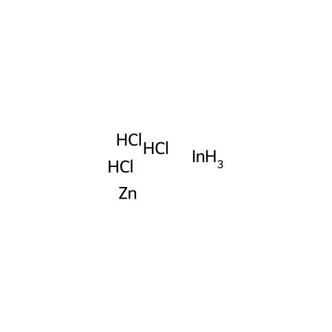 Cl.Cl.Cl.[InH3].[Zn]